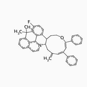 C=C1/C=C(c2ccccc2)\C=C(\c2ccccc2)OCCC2c3ccc(F)c4c3-c3c5c(cccc5cc[n+]3C2C1)C4(C)C